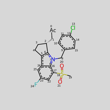 CC(=O)C[C@H]1CCc2c1n(Cc1ccc(Cl)cc1)c1c(S(C)(=O)=O)cc(F)cc21